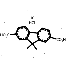 CC1(C)c2cc(C(=O)O)ccc2-c2ccc(C(=O)O)cc21.Cl.Cl